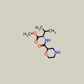 COC(=O)[C@@H](NC(=O)C1CNCCO1)C(C)C